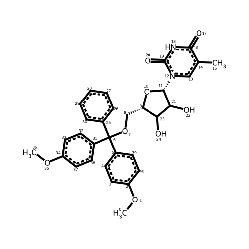 COc1ccc(C(OC[C@@H]2O[C@H](n3cc(C)c(=O)[nH]c3=O)C(O)C2O)(c2ccccc2)c2ccc(OC)cc2)cc1